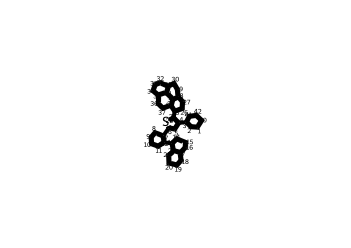 c1ccc(-c2cc(-c3ccccc3-c3cccc4ccccc34)sc2-c2ccc3ccc4cccc5ccc2c3c45)cc1